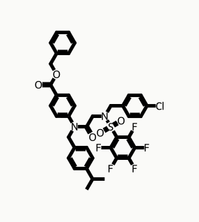 CC(C)c1ccc(CN(C(=O)CN(Cc2ccc(Cl)cc2)S(=O)(=O)c2c(F)c(F)c(F)c(F)c2F)c2ccc(C(=O)OCc3ccccc3)cc2)cc1